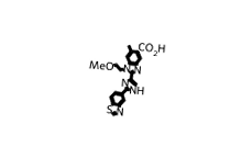 COCCn1c(-c2c[nH]c(-c3ccc4scnc4c3)n2)nc2cc(C(=O)O)c(C)cc21